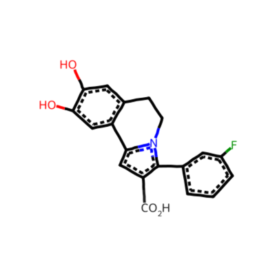 O=C(O)c1cc2n(c1-c1cccc(F)c1)CCc1cc(O)c(O)cc1-2